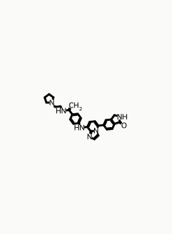 C=C(NCCN1CCCC1)c1ccc(Nc2ccc(-c3ccc4c(c3)CNC4=O)n3ccnc23)cc1